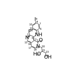 O=c1c2c(Nc3ccc(I)cc3F)cncc2ccn1C[C@H](O)CO